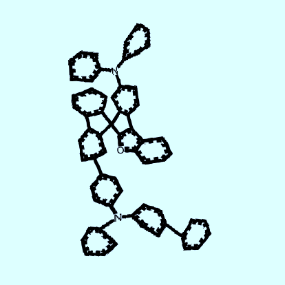 c1ccc(-c2ccc(N(c3ccccc3)c3ccc(-c4ccc5c(c4)C4(c6ccccc6-5)c5cc(N(c6ccccc6)c6ccccc6)ccc5-c5c4oc4ccccc54)cc3)cc2)cc1